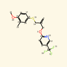 C=C(COc1ccc(C(F)(F)F)cn1)CSc1ccc(OC)c(C)c1